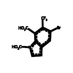 O=C(O)c1c(C(F)(F)F)c(Br)cc2ccn(C(=O)O)c12